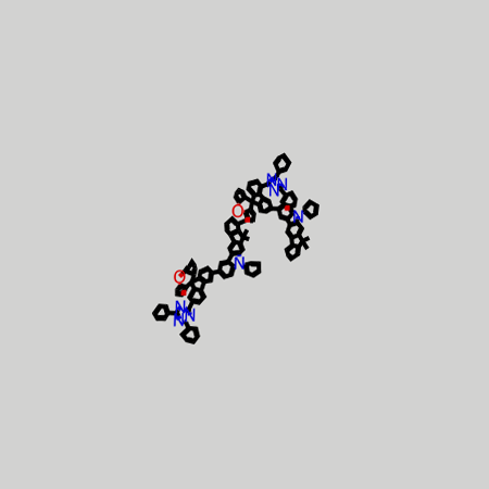 CC1(C)c2ccccc2-c2cc3c4cc(-c5ccc6c(c5)-c5c(-c7nc(-c8ccccc8)nc(-c8ccccc8)n7)cccc5C65c6ccccc6Oc6c(-c7cccc8c7C(C)(C)c7cc9c(cc7-8)c7cc(-c8ccc%10c(c8)-c8ccc(-c%11nc(-c%12ccccc%12)nc(-c%12ccccc%12)n%11)cc8C%108c%10ccccc%10Oc%10ccccc%108)ccc7n9-c7ccccc7)cccc65)ccc4n(-c4ccccc4)c3cc21